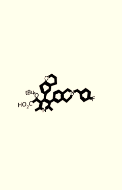 Cc1nc(C)c(C(OC(C)(C)C)C(=O)O)c(-c2ccc3c(c2)CCCO3)c1-c1ccc2c(c1)CCN(Cc1ccc(F)cc1)C2